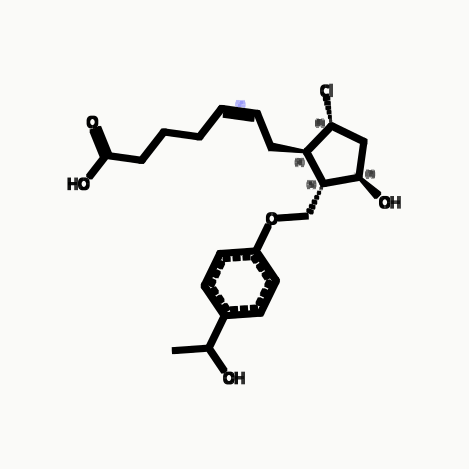 CC(O)c1ccc(OC[C@@H]2[C@@H](C/C=C\CCCC(=O)O)[C@H](Cl)C[C@H]2O)cc1